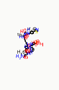 Cc1ncsc1-c1ccc(CNC(=O)[C@@H]2C[C@@H](O)CN2C(=O)[C@@H](NC(=O)CCCCCCc2ccc(CO[C@H](C)[C@H](CCC(N)=O)NC(=O)[C@@H]3Cc4cccc5c4N3C(=O)[C@@H](NC(=O)c3cc4cc(C(=O)P(=O)(O)O)ccc4[nH]3)CC5)cc2)C(C)(C)C)cc1